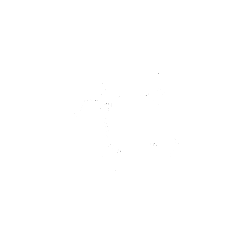 CCC1=C(C)c2cc3[nH]c(cc4nc(cc5cc(C)c(cc1n2)[nH]5)C(C)=C4CC)c(C)c3CC(=O)O